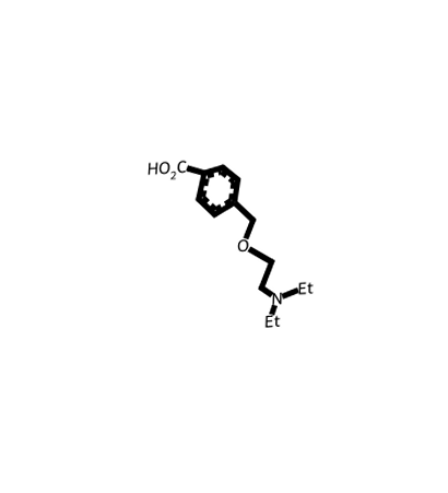 CCN(CC)CCOCc1ccc(C(=O)O)cc1